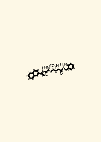 Nc1ccccc1COC(=O)CCCC[C@H](NC(=O)O)c1ncc(-c2ccc3ccccc3c2)[nH]1